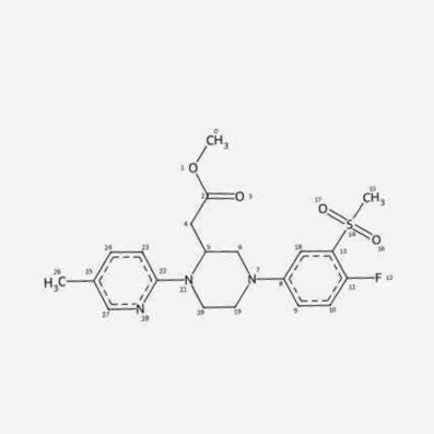 COC(=O)CC1CN(c2ccc(F)c(S(C)(=O)=O)c2)CCN1c1ccc(C)cn1